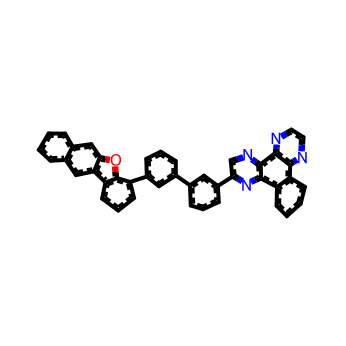 c1cc(-c2cccc(-c3cccc4c3oc3cc5ccccc5cc34)c2)cc(-c2cnc3c(n2)c2ccccc2c2nccnc23)c1